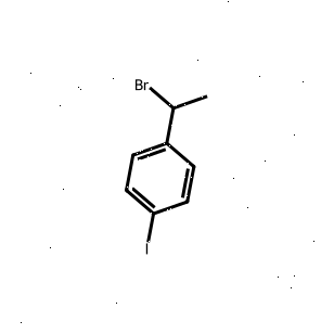 CC(Br)c1ccc(I)cc1